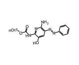 CCCCCCCCOC(=O)Nc1nc(N)c(/N=N/c2ccccc2)cc1O